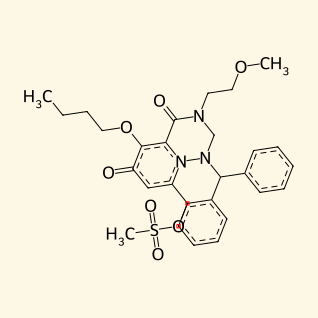 CCCCOc1c2n(c(COS(C)(=O)=O)cc1=O)N(C(c1ccccc1)c1ccccc1)CN(CCOC)C2=O